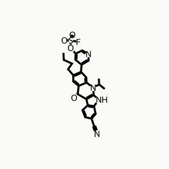 CCCCc1cc2c(=O)c3c4ccc(C#N)cc4[nH]c3n(C(C)C)c2cc1-c1cncc(OS(=O)(=O)F)c1